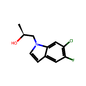 C[C@H](O)Cn1ccc2cc(F)c(Cl)cc21